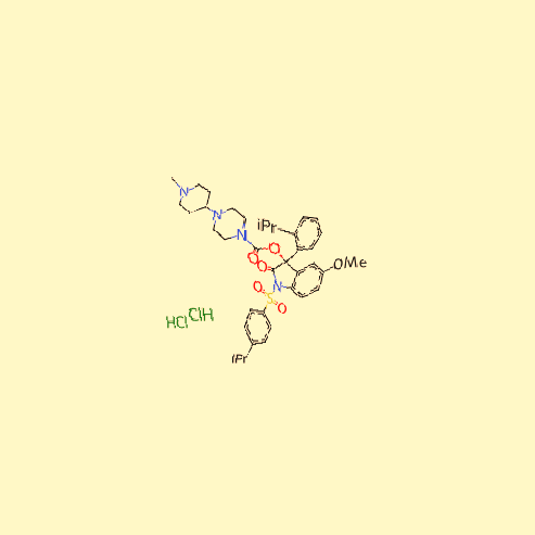 COc1ccc2c(c1)C(OC(=O)N1CCN(C3CCN(C)CC3)CC1)(c1ccccc1C(C)C)C(=O)N2S(=O)(=O)c1ccc(C(C)C)cc1.Cl.Cl